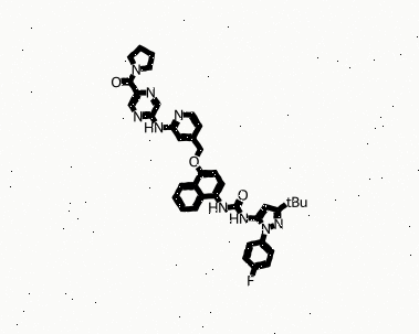 CC(C)(C)c1cc(NC(=O)Nc2ccc(OCc3ccnc(Nc4cnc(C(=O)N5CCCC5)cn4)c3)c3ccccc23)n(-c2ccc(F)cc2)n1